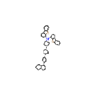 c1ccc2c(-c3ccc(-c4ccc(-c5ccc(N(c6cccc7c6sc6ccccc67)c6cccc7c6sc6ccccc67)cc5)cc4)cc3)cccc2c1